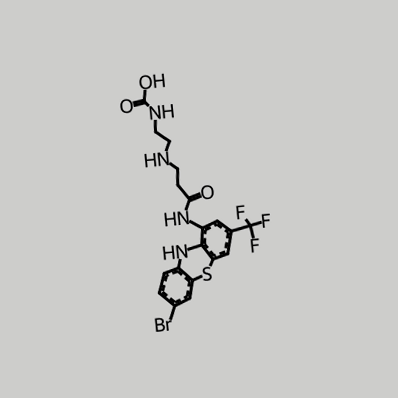 O=C(O)NCCNCCC(=O)Nc1cc(C(F)(F)F)cc2c1Nc1ccc(Br)cc1S2